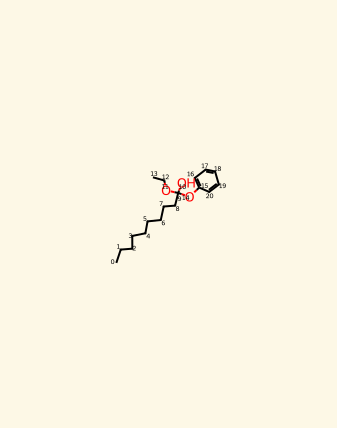 CCCCCCCCCC(O)(OCC)Oc1ccccc1